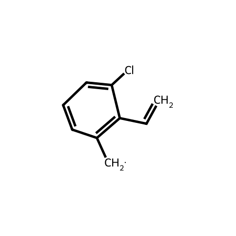 [CH2]c1cccc(Cl)c1C=C